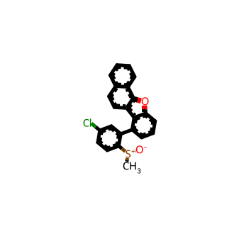 C[S+]([O-])c1ccc(Cl)cc1-c1cccc2oc3c4ccccc4ccc3c12